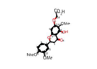 COc1ccc(C2CC(=O)c3c(cc(OCC(=O)O)c(OC)c3O)O2)cc1OC